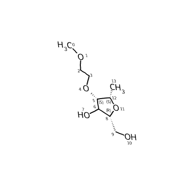 COCCO[C@H]1C(O)[C@@H](CO)O[C@H]1C